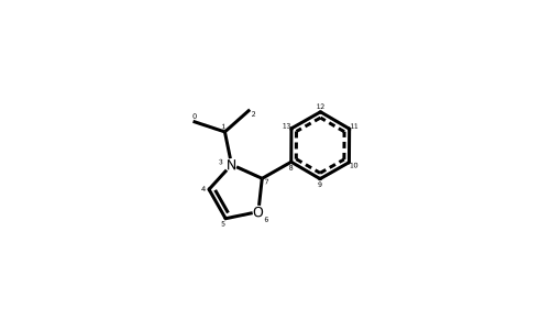 CC(C)N1C=COC1c1ccccc1